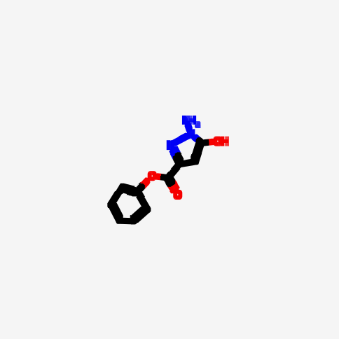 Nn1nc(C(=O)Oc2ccccc2)cc1O